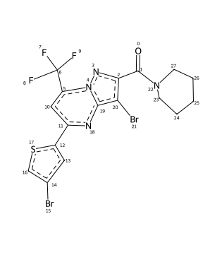 O=C(c1nn2c(C(F)(F)F)cc(-c3cc(Br)cs3)nc2c1Br)N1CCCCC1